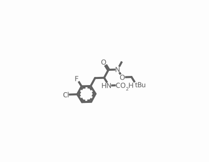 CN(OCC(C)(C)C)C(=O)C(Cc1cccc(Cl)c1F)NC(=O)O